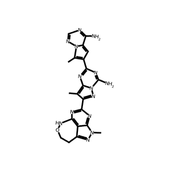 Cc1c(-c2nc3c4c(nn(C)c4n2)CCON3)nn2c(N)nc(-c3cc4c(N)ncnn4c3C)nc12